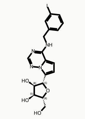 OC[C@H]1O[C@@H](c2ccc3c(NCc4cccc(I)c4)ncnn23)[C@H](O)[C@@H]1O